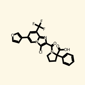 O=C(c1nc2c(C(F)(F)F)cc(-c3ccoc3)cn2c1Cl)N1CCCC1(C(=O)O)c1ccccc1